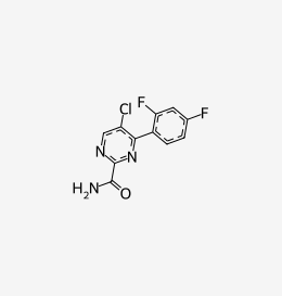 NC(=O)c1ncc(Cl)c(-c2ccc(F)cc2F)n1